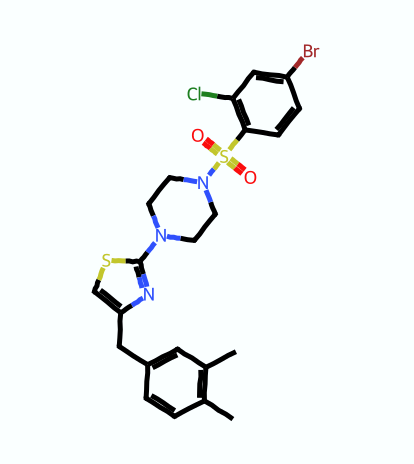 Cc1ccc(Cc2csc(N3CCN(S(=O)(=O)c4ccc(Br)cc4Cl)CC3)n2)cc1C